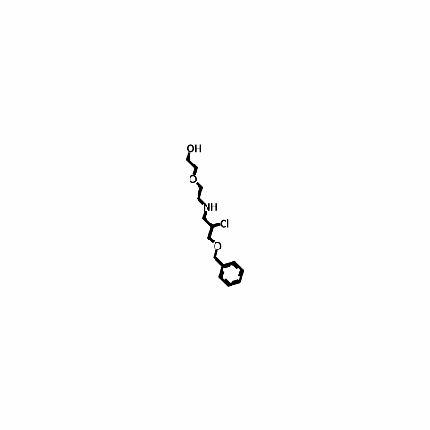 OCCOCCNCC(Cl)COCc1ccccc1